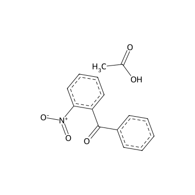 CC(=O)O.O=C(c1ccccc1)c1ccccc1[N+](=O)[O-]